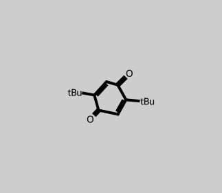 CC(C)(C)C1=CC(=O)C(C(C)(C)C)=CC1=O